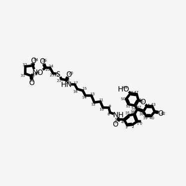 Cc1ccc(C(=O)NCCCCCCCCCCNC(=O)CSCCC(=O)ON2C(=O)CCC2=O)cc1-c1c2ccc(=O)cc-2oc2cc(O)ccc12